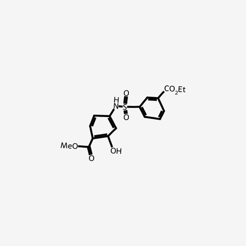 CCOC(=O)c1cccc(S(=O)(=O)Nc2ccc(C(=O)OC)c(O)c2)c1